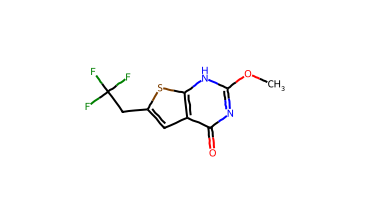 COc1nc(=O)c2cc(CC(F)(F)F)sc2[nH]1